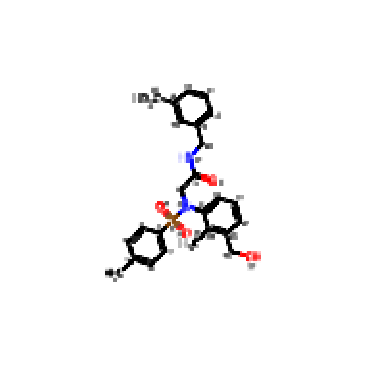 Cc1ccc(S(=O)(=O)N(CC(=O)NCc2cccc(C(=O)O)c2)c2cccc(CO)c2C)cc1